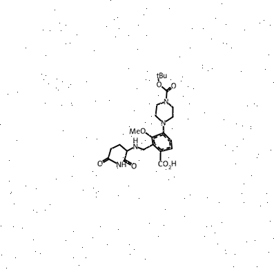 COc1c(N2CCN(C(=O)OC(C)(C)C)CC2)ccc(C(=O)O)c1CNC1CCC(=O)NC1=O